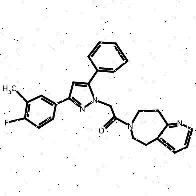 Cc1cc(-c2cc(-c3ccccc3)n(CC(=O)N3CCc4cccnc4CC3)n2)ccc1F